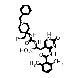 Cc1cccc(C)c1C(=O)Nc1nc(=O)[nH]cc1CC(NC(=O)NC1(CC(C)C)CCN(Cc2ccccc2)CC1)C(=O)O